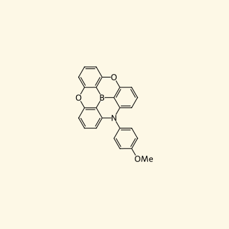 COc1ccc(N2c3cccc4c3B3c5c(cccc5Oc5cccc2c53)O4)cc1